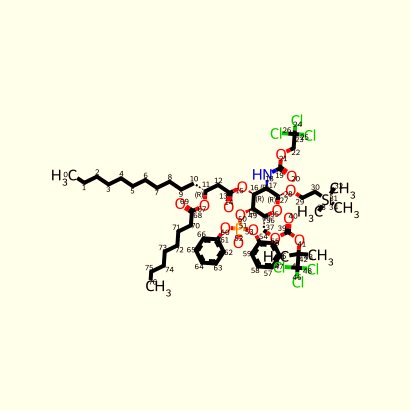 CCCCCCCCCCC[C@H](CC(=O)O[C@@H]1[C@@H](NC(=O)OCC(Cl)(Cl)Cl)[C@H](OCC[Si](C)(C)C)O[C@H](COC(=O)OC(C)(C)C(Cl)(Cl)Cl)[C@H]1OP(=O)(Oc1ccccc1)Oc1ccccc1)OC(=O)CCCCCCC